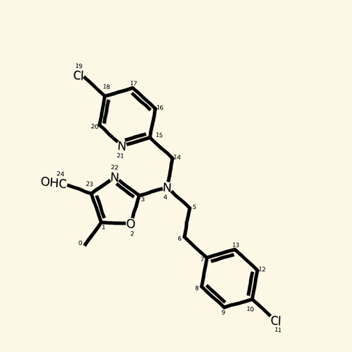 Cc1oc(N(CCc2ccc(Cl)cc2)Cc2ccc(Cl)cn2)nc1C=O